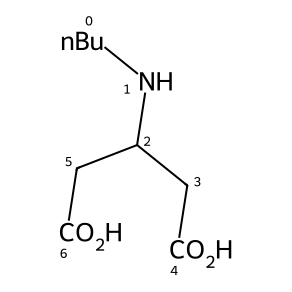 CCCCNC(CC(=O)O)CC(=O)O